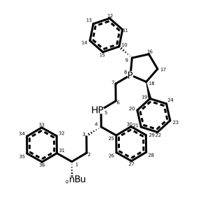 CCCC[C@@H](CC[C@H](PCCP1[C@H](c2ccccc2)CC[C@H]1c1ccccc1)c1ccccc1)c1ccccc1